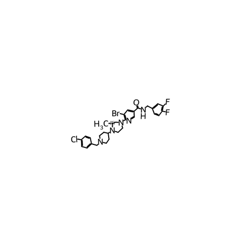 C[C@H]1CN(c2ncc(C(=O)NCc3ccc(F)c(F)c3)cc2Br)CCN1C1CCN(Cc2ccc(Cl)cc2)CC1